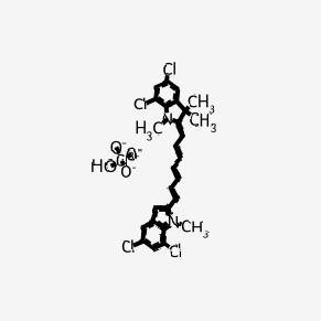 CN1C(=CC=CC=CC=Cc2cc3cc(Cl)cc(Cl)c3n2C)C(C)(C)c2cc(Cl)cc(Cl)c21.[O-][Cl+3]([O-])([O-])O